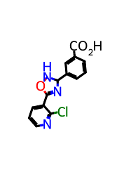 O=C(O)c1cccc(C2N=C(c3cccnc3Cl)ON2)c1